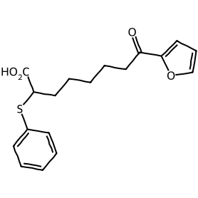 O=C(CCCCCC(Sc1ccccc1)C(=O)O)c1ccco1